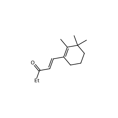 CCC(=O)/C=C/C1=C(C)C(C)(C)CCC1